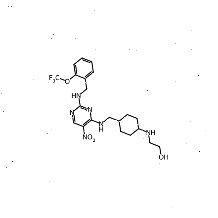 O=[N+]([O-])c1cnc(NCc2ccccc2OC(F)(F)F)nc1NCC1CCC(NCCO)CC1